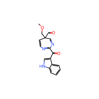 COCC1(C=O)C=CN=C(C(=O)c2c[nH]c3ccccc23)N=C1